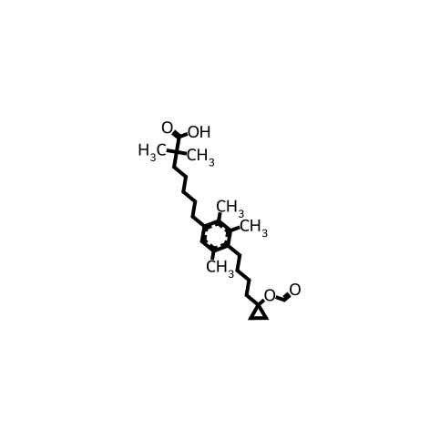 Cc1cc(CCCCCC(C)(C)C(=O)O)c(C)c(C)c1CCCCC1(OC=O)CC1